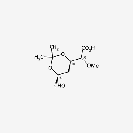 CO[C@@H](C(=O)O)[C@H]1C[C@@H](C=O)OC(C)(C)O1